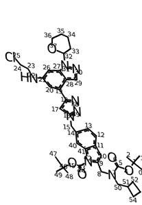 CC(C)(C)OC(=O)N(Cc1cc2ccc(Cn3cc(-c4cc(NCCCl)cc5c4cnn5C4CCCCO4)nn3)cc2n1C(=O)OC(C)(C)C)CC1CCC1